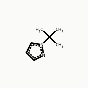 CC(C)(C)n1c[c]cn1